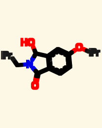 CC(C)CN1C(=O)c2ccc(OC(C)C)cc2C1O